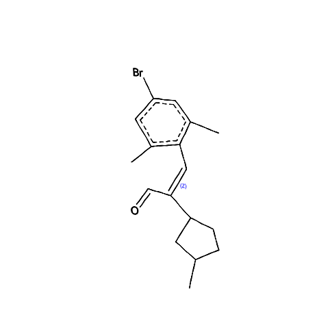 Cc1cc(Br)cc(C)c1/C=C(\C=O)C1CCC(C)C1